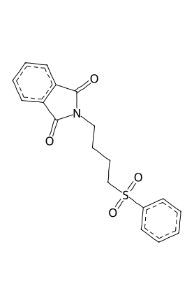 O=C1c2ccccc2C(=O)N1CCCCS(=O)(=O)c1ccccc1